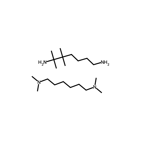 CC(C)(N)C(C)(C)CCCCN.CN(C)CCCCCCN(C)C